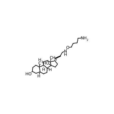 C[C@]12CC[C@H](O)C[C@H]1CC[C@@H]1[C@@H]2CC[C@]2(C)[C@@H](/C=C/CNOCCCCN)CC[C@]12O